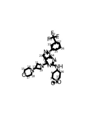 O=S1(=O)CCC(Nc2nc(N3CC(N4CCOCC4)C3)c3cnn(-c4cccc(C(F)(F)F)c4)c3n2)CC1